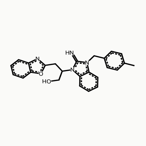 Cc1ccc(Cn2c(=N)n(C(CO)Cc3nc4ccccc4o3)c3ccccc32)cc1